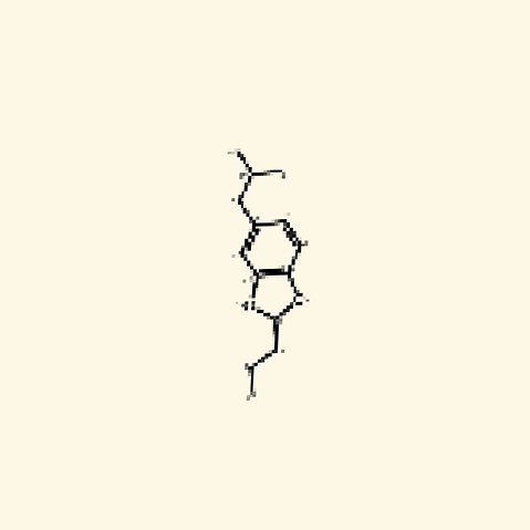 CCCC1Oc2ccc(CC(C)C)cc2O1